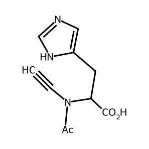 C#CN(C(C)=O)C(Cc1cnc[nH]1)C(=O)O